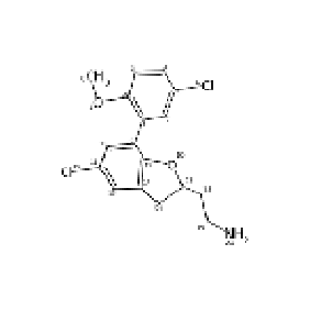 COc1ccc(Cl)cc1-c1cc(Cl)cc2c1OC(CCN)C2